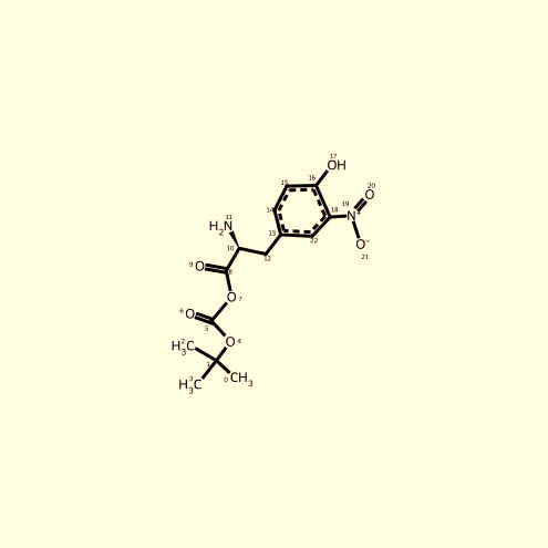 CC(C)(C)OC(=O)OC(=O)[C@@H](N)Cc1ccc(O)c([N+](=O)[O-])c1